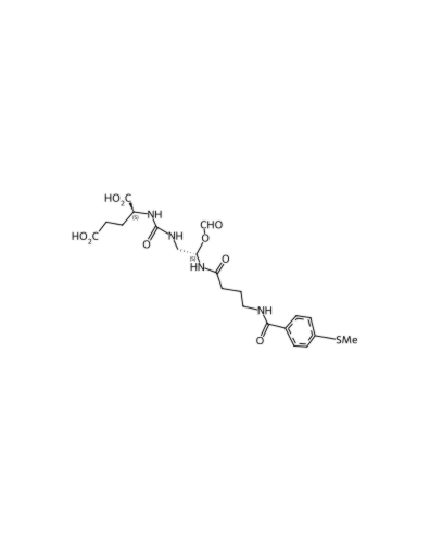 CSc1ccc(C(=O)NCCCC(=O)N[C@H](CNC(=O)N[C@@H](CCC(=O)O)C(=O)O)OC=O)cc1